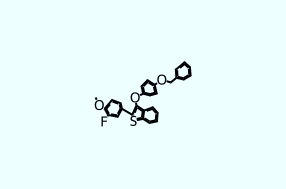 COc1ccc(-c2sc3ccccc3c2Oc2ccc(OCc3ccccc3)cc2)cc1F